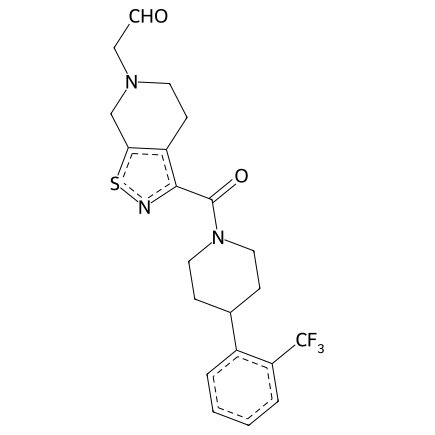 O=CCN1CCc2c(C(=O)N3CCC(c4ccccc4C(F)(F)F)CC3)nsc2C1